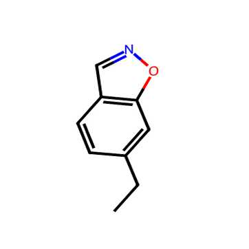 CCc1ccc2cnoc2c1